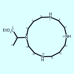 CCOC(=O)C(C)N1CCCNCCNCCCNCC1